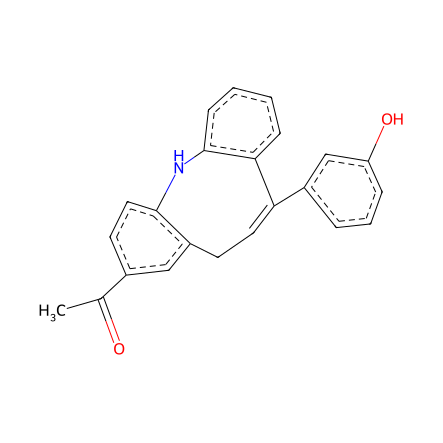 CC(=O)c1ccc2c(c1)CC=C(c1cccc(O)c1)c1ccccc1N2